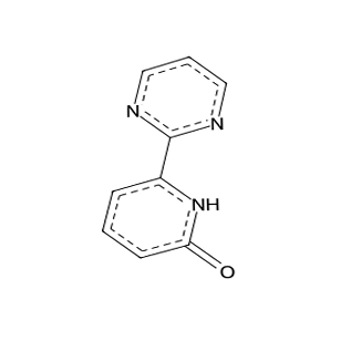 O=c1cccc(-c2ncccn2)[nH]1